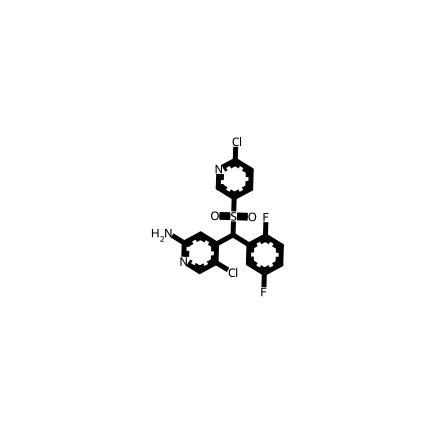 Nc1cc(C(c2cc(F)ccc2F)S(=O)(=O)c2ccc(Cl)nc2)c(Cl)cn1